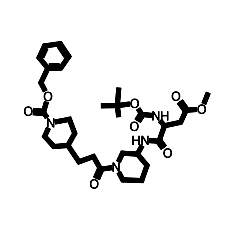 COC(=O)CC(NC(=O)OC(C)(C)C)C(=O)NC1CCCN(C(=O)CCC2CCN(C(=O)OCc3ccccc3)CC2)C1